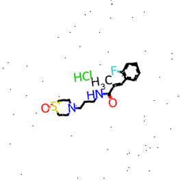 C/C(=C\c1ccccc1F)C(=O)NCCCN1CC[S+]([O-])CC1.Cl